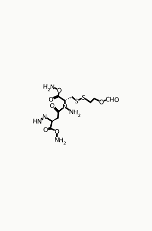 N=N[C@@H](CC(=O)N(N)[C@@H](CSSCCOC=O)C(=O)ON)C(=O)ON